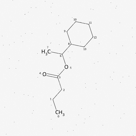 CCCC(=O)OC(C)C1CCCCC1